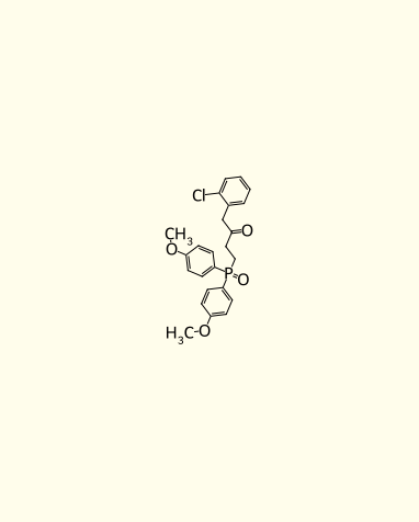 COc1ccc(P(=O)(CCC(=O)Cc2ccccc2Cl)c2ccc(OC)cc2)cc1